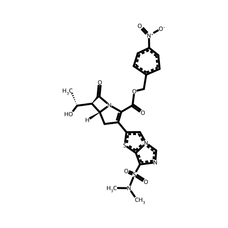 C[C@@H](O)[C@H]1C(=O)N2C(C(=O)OCc3ccc([N+](=O)[O-])cc3)=C(c3cn4cnc(S(=O)(=O)N(C)C)c4s3)C[C@H]12